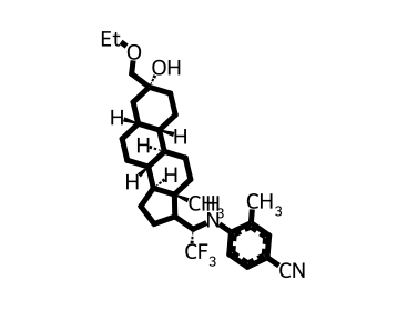 CCOC[C@@]1(O)CC[C@H]2[C@H](CC[C@@H]3[C@@H]2CC[C@]2(C)C([C@H](Nc4ccc(C#N)cc4C)C(F)(F)F)CC[C@@H]32)C1